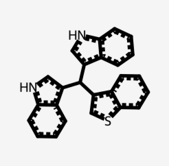 c1ccc2c(C(c3c[nH]c4ccccc34)c3csc4ccccc34)c[nH]c2c1